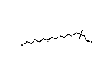 CC(C)(COCCOCCOCCOCCO)OC=O